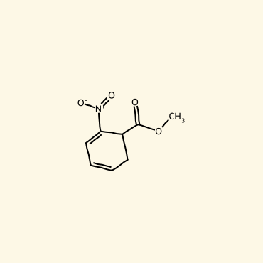 COC(=O)C1CC=CC=C1[N+](=O)[O-]